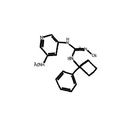 CC(=O)Nc1cncc(N/C(=N/C#N)NC2(c3ccccc3)CCC2)c1